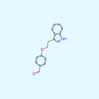 O=Cc1ccc(OCCc2c[nH]c3ccccc23)cc1